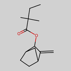 C=C1C2CCC(C2)C1OC(=O)C(C)(C)CC